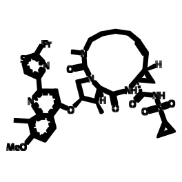 COc1ccc2c(O[C@H]3CN4C(=O)N(C)CCCC/C=C\[C@@H]5C[C@@]5(C(=O)NS(=O)(=O)C5CC5)NC(=O)[C@@H]4[C@H]3C)cc(-c3csc(C(C)C)n3)nc2c1C